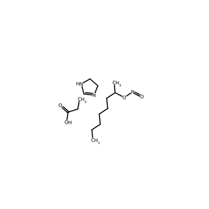 C1=NCCN1.CCC(=O)O.CCCCCCC(C)ON=O